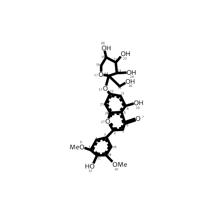 COc1cc(-c2cc(=O)c3c(O)cc(OC4(CO)OCC(O)C(O)C4O)cc3o2)cc(OC)c1O